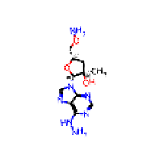 C[C@@]1(O)C[C@@H](CON)O[C@H]1n1cnc2c(NN)ncnc21